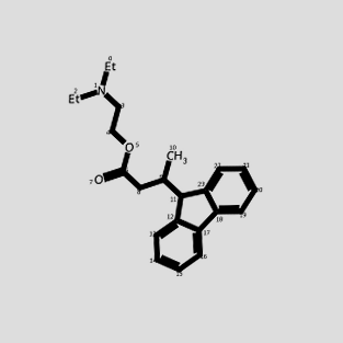 CCN(CC)CCOC(=O)CC(C)C1c2ccccc2-c2ccccc21